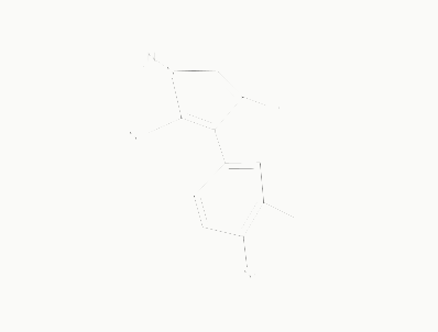 CCOC(=O)c1cn(N)c(C#N)c1-c1ccc(N=O)c(F)c1